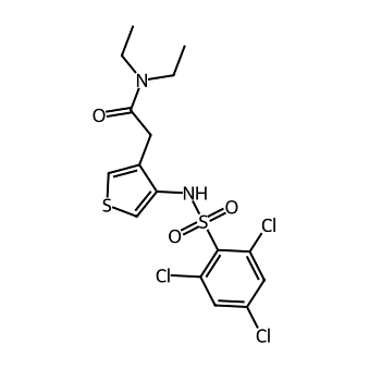 CCN(CC)C(=O)Cc1cscc1NS(=O)(=O)c1c(Cl)cc(Cl)cc1Cl